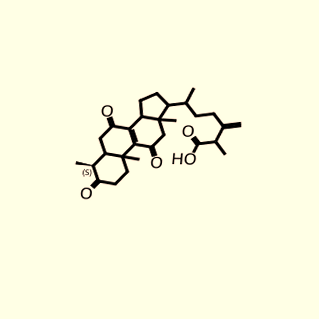 C=C(CCC(C)C1CCC2C3=C(C(=O)CC21C)C1(C)CCC(=O)[C@@H](C)C1CC3=O)C(C)C(=O)O